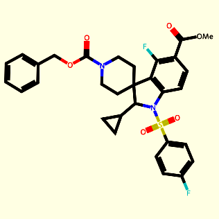 COC(=O)c1ccc2c(c1F)C1(CCN(C(=O)OCc3ccccc3)CC1)C(C1CC1)N2S(=O)(=O)c1ccc(F)cc1